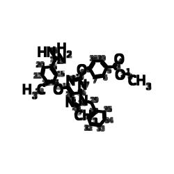 CCOC(=O)c1ccc(Oc2nc(Oc3cc(C(=N)N)ccc3C)c3nc(C)n(Cc4ccccc4)c3n2)cc1